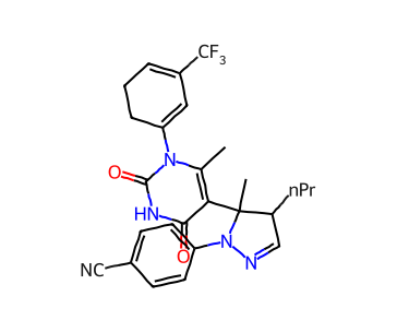 CCCC1C=NN(c2ccc(C#N)cc2)C1(C)c1c(C)n(C2=CC(C(F)(F)F)=CCC2)c(=O)[nH]c1=O